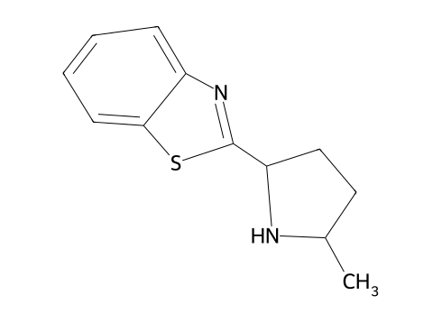 CC1CCC(c2nc3ccccc3s2)N1